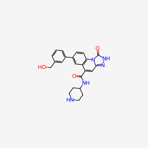 O=C(NC1CCNCC1)c1cc2n[nH]c(=O)n2c2ccc(-c3cccc(CO)c3)cc12